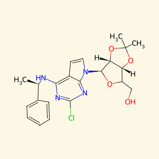 C[C@@H](Nc1nc(Cl)nc2c1ccn2[C@@H]1OC(CO)[C@H]2OC(C)(C)O[C@H]21)c1ccccc1